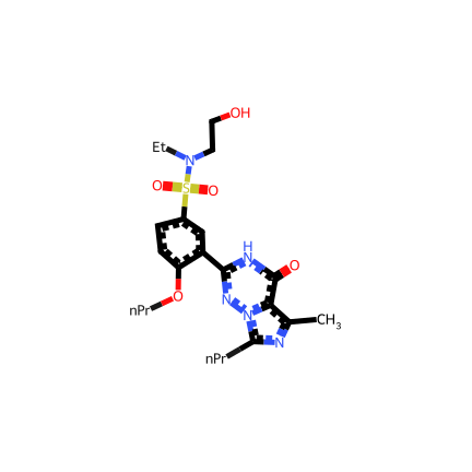 CCCOc1ccc(S(=O)(=O)N(CC)CCO)cc1-c1nn2c(CCC)nc(C)c2c(=O)[nH]1